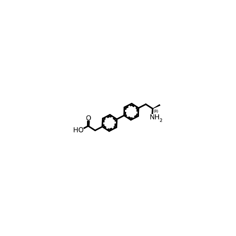 C[C@@H](N)Cc1ccc(-c2ccc(CC(=O)O)cc2)cc1